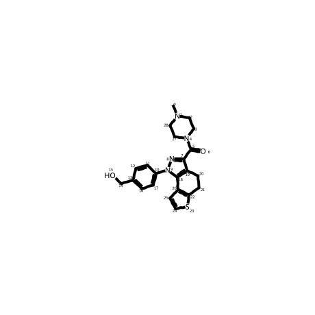 CN1CCN(C(=O)c2nn(-c3ccc(CO)cc3)c3c2CCc2sccc2-3)CC1